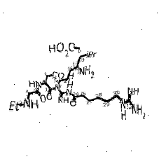 CC(=O)O.CCNCC(=O)N[C@@H](CC(=O)O)C(=O)N(CCC[C@@H](N)CC(C)C)C(=N)NC(=O)CCCCCNC(=N)N